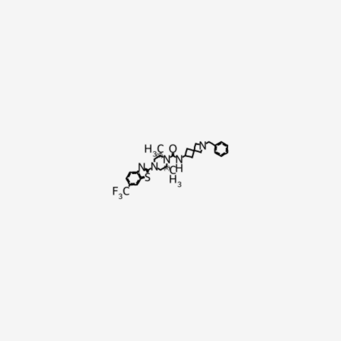 C[C@@H]1CN(c2nc3ccc(C(F)(F)F)cc3s2)C[C@H](C)N1C(=O)NC1CC2(C1)CN(Cc1ccccc1)C2